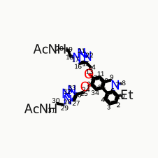 CCc1cccc2c1N(C)Cc1cc(OCc3cn(CCNC(C)=O)nn3)c(OCc3cn(CCNC(C)=O)nn3)cc1-2